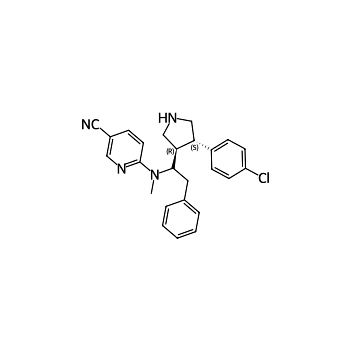 CN(c1ccc(C#N)cn1)C(Cc1ccccc1)[C@H]1CNC[C@@H]1c1ccc(Cl)cc1